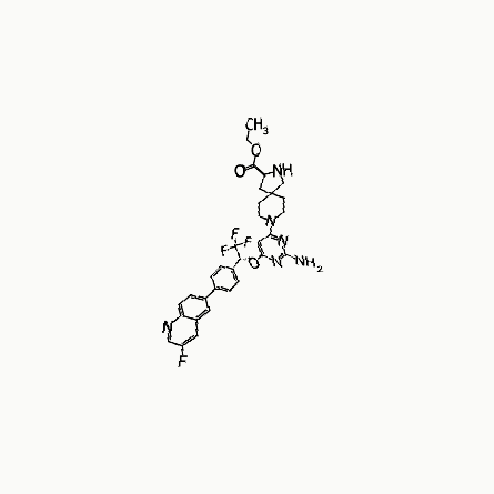 CCOC(=O)C1CC2(CCN(c3cc(O[C@H](c4ccc(-c5ccc6ncc(F)cc6c5)cc4)C(F)(F)F)nc(N)n3)CC2)CN1